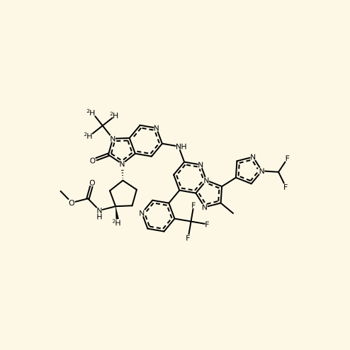 [2H]C([2H])([2H])n1c(=O)n([C@@H]2CC[C@]([2H])(NC(=O)OC)C2)c2cc(Nc3cc(-c4cnccc4C(F)(F)F)c4nc(C)c(-c5cnn(C(F)F)c5)n4n3)ncc21